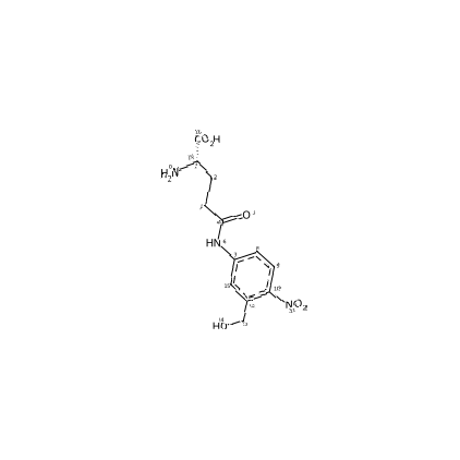 N[C@@H](CCC(=O)Nc1ccc([N+](=O)[O-])c(CO)c1)C(=O)O